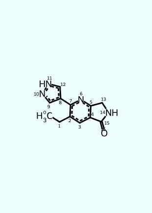 CCc1cc2c(nc1-c1cn[nH]c1)CNC2=O